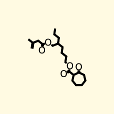 C=C(C)CC(=O)OCC(CCC)CCCCOC(=O)C1CCCCCC1=O